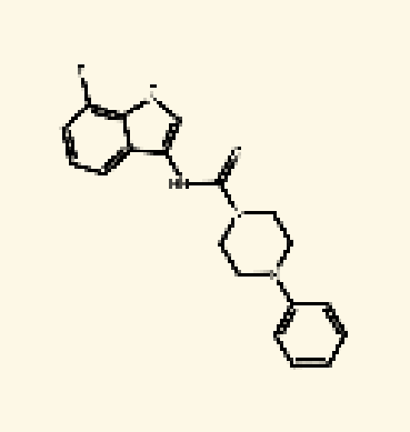 O=C(Nc1c[nH]c2c(F)cccc12)N1CCN(c2ccccc2)CC1